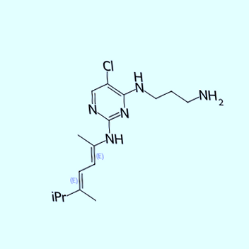 C/C(=C\C=C(/C)C(C)C)Nc1ncc(Cl)c(NCCCN)n1